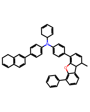 CC1C=CC(c2ccc(N(c3ccc(-c4ccc5c(c4)CCC=C5)cc3)C3C=CC=CC3)cc2)=C2Oc3c(-c4ccccc4)cccc3C21